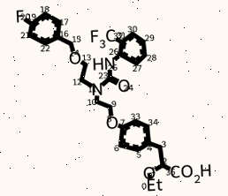 CCOC(Cc1ccc(OCCN(CCOCc2ccc(F)cc2)C(=O)Nc2ccccc2C(F)(F)F)cc1)C(=O)O